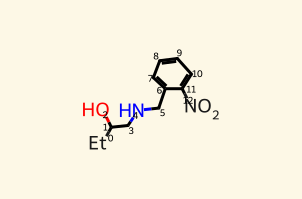 CCC(O)CNCc1ccccc1[N+](=O)[O-]